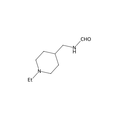 CCN1CCC(CNC=O)CC1